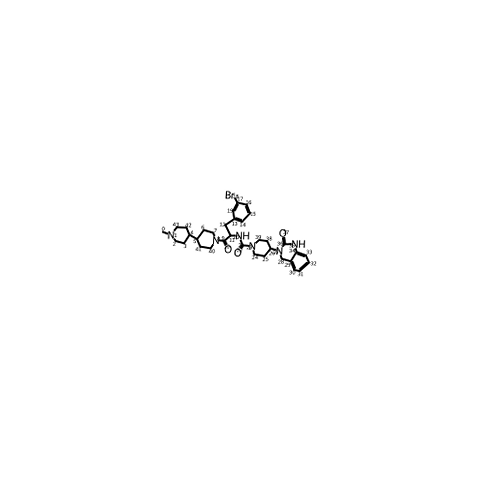 CN1CCC(C2CCN(C(=O)C(Cc3cccc(Br)c3)NC(=O)N3CCC(N4Cc5ccccc5NC4=O)CC3)CC2)CC1